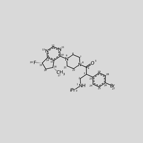 CC(C)NCC(C(=O)N1CCN(c2ncnc3c2[C@H](C)C[C@@H]3F)CC1)c1ccc(Br)cc1